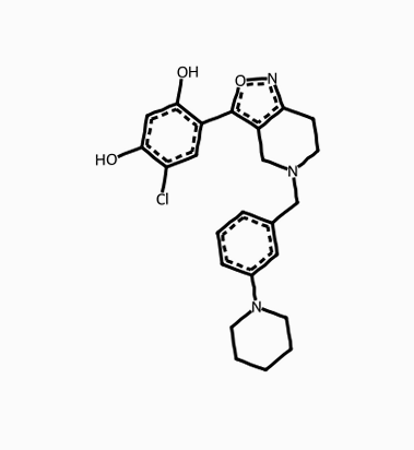 Oc1cc(O)c(-c2onc3c2CN(Cc2cccc(N4CCCCC4)c2)CC3)cc1Cl